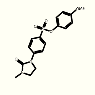 COc1ccc(OS(=O)(=O)c2ccc(N3CCN(C)C3=O)cc2)cc1